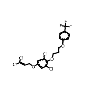 FC(F)(F)c1ccc(OCCCOc2c(Cl)cc(OCC=C(Cl)Cl)cc2Cl)cc1